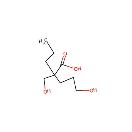 CCCC(CO)(CCCO)C(=O)O